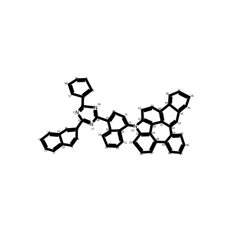 c1ccc(-c2nc(-c3ccc4ccccc4c3)nc(-c3ccc(-n4c5cccc6c5c5c7c(cc8ccccc8c7ccc54)-c4ccccc4-6)c4ccccc34)n2)cc1